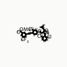 COC(=O)c1cc(C#Cc2ccc(OCc3c(-c4c(Cl)cccc4Cl)noc3C3CC3)cc2Cl)cc(C(F)(F)F)c1